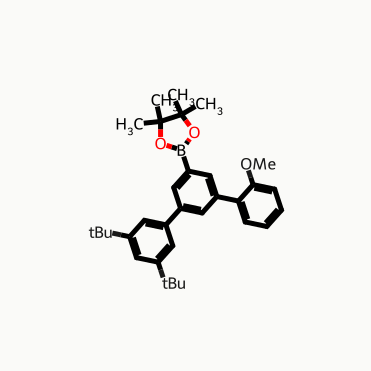 COc1ccccc1-c1cc(B2OC(C)(C)C(C)(C)O2)cc(-c2cc(C(C)(C)C)cc(C(C)(C)C)c2)c1